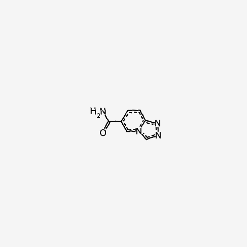 NC(=O)c1ccc2nncn2c1